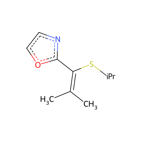 CC(C)=C(SC(C)C)c1ncco1